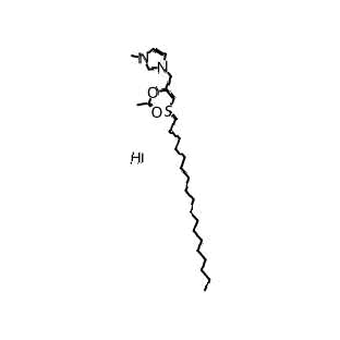 CCCCCCCCCCCCCCCCCCSCC(CN1C=CN(C)C1)OC(C)=O.I